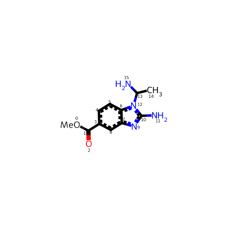 COC(=O)c1ccc2c(c1)nc(N)n2C(C)N